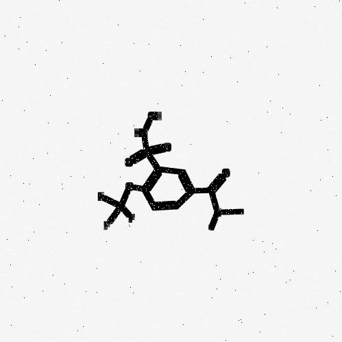 CN(C)C(=O)c1ccc(OC(F)(F)F)c(S(=O)(=O)NO)c1